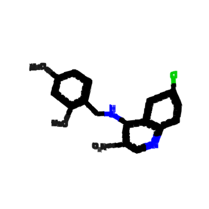 COc1ccc(CNc2c([N+](=O)[O-])cnc3ccc(Cl)cc23)c(OC)c1